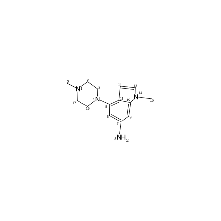 CN1CCN(c2cc(N)cc3c2ccn3C)CC1